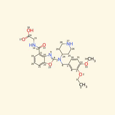 CCOc1cc(CN(c2nc3c(C(=O)NCC(=O)O)cccc3o2)C2CCNCC2)ccc1OC